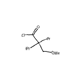 COCC(C(=O)Cl)(C(C)C)C(C)C